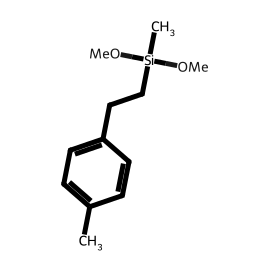 CO[Si](C)(CCc1ccc(C)cc1)OC